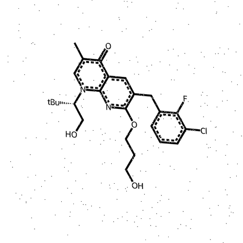 Cc1cn([C@H](CO)C(C)(C)C)c2nc(OCCCO)c(Cc3cccc(Cl)c3F)cc2c1=O